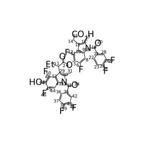 CCC(C(=O)Oc1c(F)cc2c(c1F)c(CC(=O)O)c(C)n2C(=O)c1ccc(F)c(F)c1)c1c(C)n(C(=O)c2ccc(F)c(F)c2)c2cc(F)c(O)c(F)c12